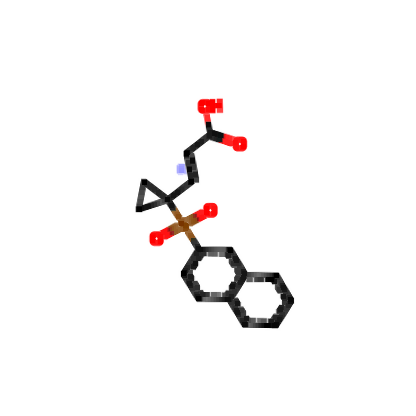 O=C(O)/C=C/C1(S(=O)(=O)c2ccc3ccccc3c2)CC1